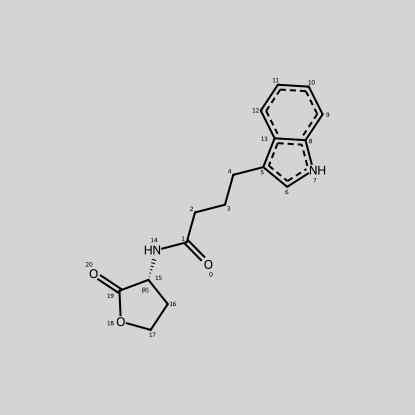 O=C(CCCc1c[nH]c2ccccc12)N[C@@H]1CCOC1=O